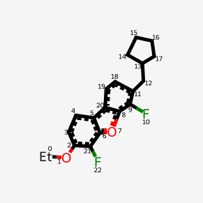 CCOc1ccc2c(oc3c(F)c(CC4CCCC4)ccc32)c1F